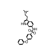 CN(C)CCc1c[nH]c2cc(NS(=O)(=O)c3ccc(Oc4ccccc4)cc3)ccc12